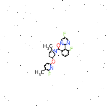 Cc1ccc(OC2CC3CC2N(C(=O)c2cccc(F)c2-c2ncc(F)cn2)C3C)nc1F